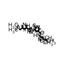 CCN(C)Cc1cncc(-c2cn(-c3cc(C(=O)Nc4cc(C(C)(C)C)on4)cnc3C)nn2)c1